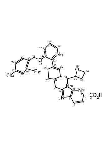 O=C(O)c1ccc2nc(CC3CC=C(c4nccnc4OCc4ccc(Cl)cc4F)CC3)n(CC3CCO3)c2n1